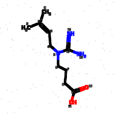 CC(C)=CCN(CCCC(=O)O)C(=N)N